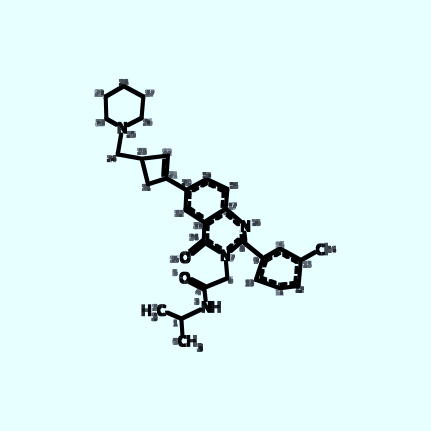 CC(C)NC(=O)Cn1c(-c2cccc(Cl)c2)nc2ccc(C3=CC(CN4CCCCC4)C3)cc2c1=O